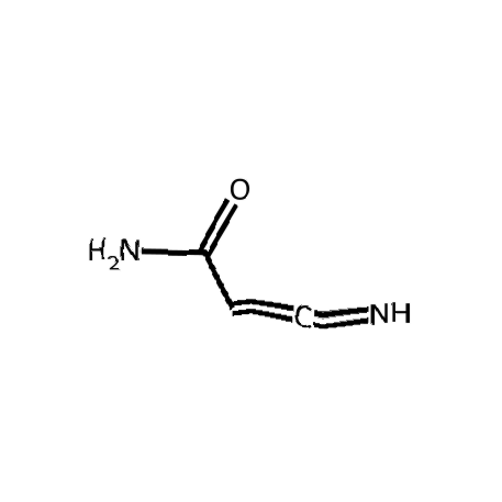 N=C=CC(N)=O